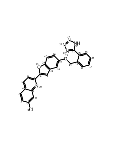 Clc1ccc2ccc(-c3cc4cc(OCc5ccccc5-c5nnn[nH]5)ccc4o3)nc2c1